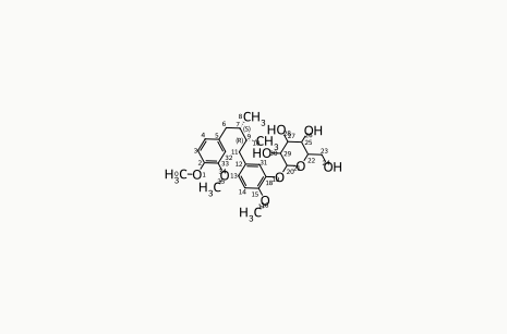 COc1ccc(C[C@H](C)[C@H](C)Cc2ccc(OC)c(OC3OC(CO)C(O)C(O)C3O)c2)cc1OC